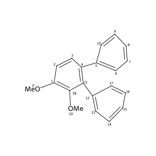 COc1ccc(-c2ccccc2)c(-c2ccccc2)c1OC